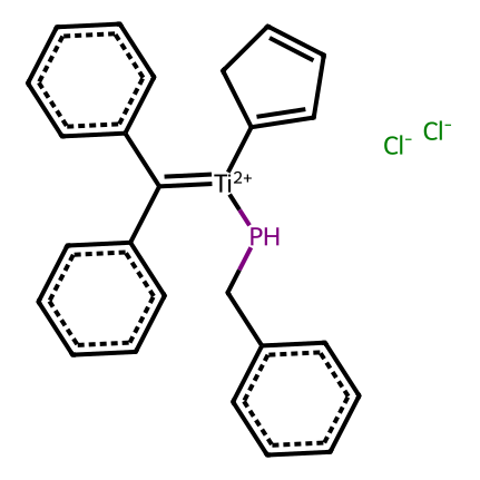 C1=CC[C]([Ti+2]([PH]Cc2ccccc2)=[C](c2ccccc2)c2ccccc2)=C1.[Cl-].[Cl-]